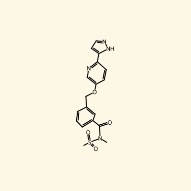 CN(C(=O)c1cccc(COc2ccc(-c3ccn[nH]3)nc2)c1)S(C)(=O)=O